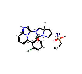 CCS(=O)(=O)N[C@H]1C[C@H]2CN(c3cnc4cccc(-c5c(F)cccc5F)n34)C(=O)N2C1